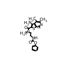 Cc1nnc2sc(C(=O)N(C)CCNC(=O)Oc3ccccc3)c(N)c2c1C